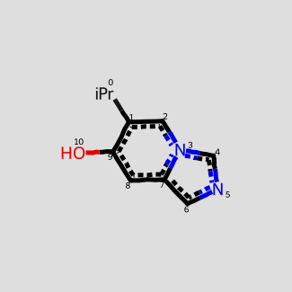 CC(C)c1cn2cncc2cc1O